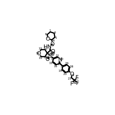 O=C(NOC1CCCCO1)C1(S(=O)(=O)c2ccc(-c3ccc(OCC(F)(F)F)cc3)nc2)CCOCC1